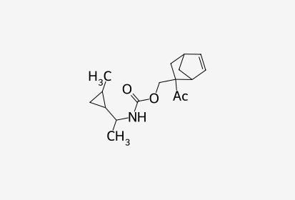 CC(=O)C1(COC(=O)NC(C)C2CC2C)CC2C=CC1C2